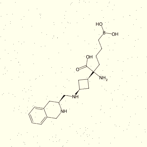 NC(CCCCB(O)O)(C(=O)O)[C@H]1C[C@@H](NC[C@@H]2Cc3ccccc3CN2)C1